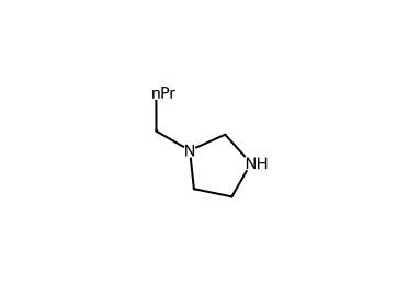 CCCCN1CCNC1